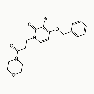 O=C(CCn1ccc(OCc2ccccc2)c(Br)c1=O)N1CCOCC1